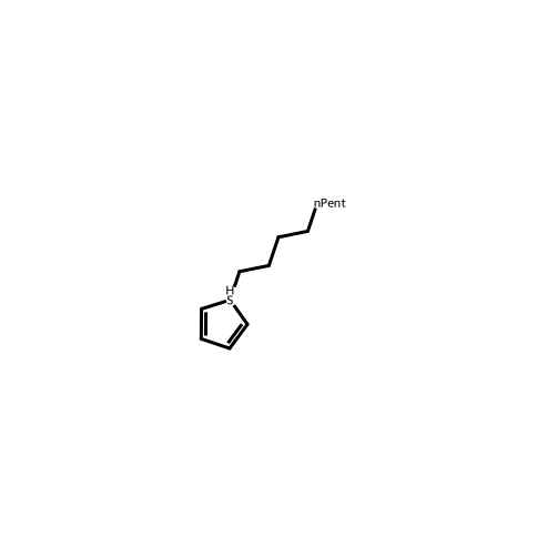 [CH2]CCCCCCCC[SH]1C=CC=C1